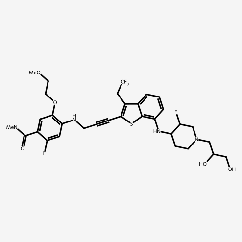 CNC(=O)c1cc(OCCOC)c(NCC#Cc2sc3c(NC4CCN(CC(O)CO)CC4F)cccc3c2CC(F)(F)F)cc1F